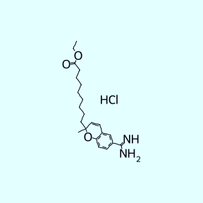 CCOC(=O)CCCCCCCCC1(C)C=Cc2cc(C(=N)N)ccc2O1.Cl